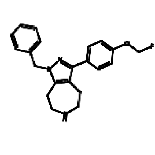 FCOc1ccc(-c2nn(Cc3ccccc3)c3c2CCNCC3)cc1